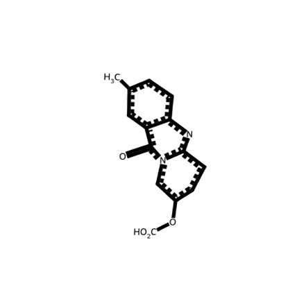 Cc1ccc2nc3ccc(OC(=O)O)cn3c(=O)c2c1